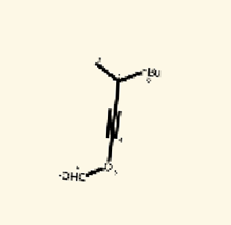 CCCCC(C)C#CO[C]=O